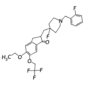 CCOc1cc2c(cc1OCC(F)(F)F)C(=O)C(CC1(F)CCN(Cc3ccccc3F)CC1)C2